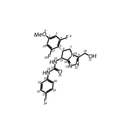 COc1cc(F)c([C@@H]2Cn3c(CO)nnc3[C@H]2NC(=O)Nc2ccc(F)cc2)c(F)c1